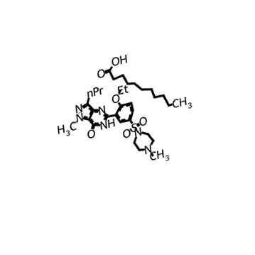 CCCCCCCCCCC(=O)O.CCCc1nn(C)c2c(=O)[nH]c(-c3cc(S(=O)(=O)N4CCN(C)CC4)ccc3OCC)nc12